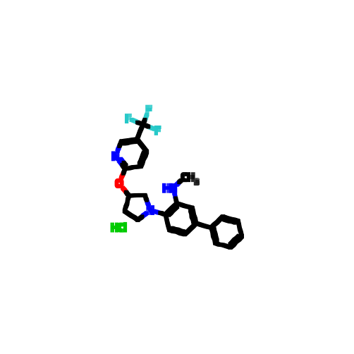 CNc1cc(-c2ccccc2)ccc1N1CCC(Oc2ccc(C(F)(F)F)cn2)C1.Cl